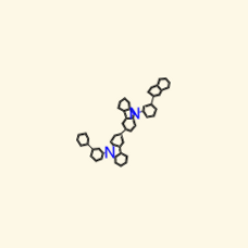 c1ccc(-c2cccc(-n3c4ccccc4c4cc(-c5ccc6c(c5)c5ccccc5n6-c5cccc(-c6ccc7ccccc7c6)c5)ccc43)c2)cc1